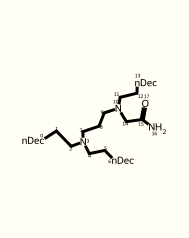 CCCCCCCCCCCCN(CCCCCCCCCCCC)CCCN(CCCCCCCCCCCC)CC(N)=O